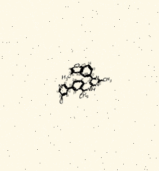 Cc1nc(N[C@@H](C)c2cccc(-c3cncc(Cl)c3)c2)cc(-c2ccc3occ(C)c3c2)n1